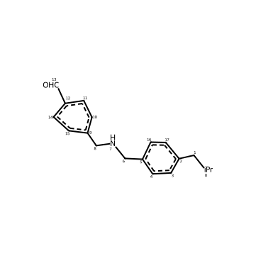 CC(C)Cc1ccc(CNCc2ccc(C=O)cc2)cc1